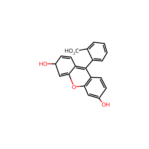 O=C(O)c1ccccc1C1=C2C=CC(O)C=C2Oc2cc(O)ccc21